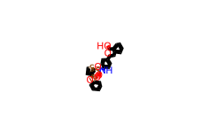 O=C(O)c1ccccc1CCc1ccc(NS(=O)(=O)c2sccc2S(=O)(=O)c2ccccc2)cc1